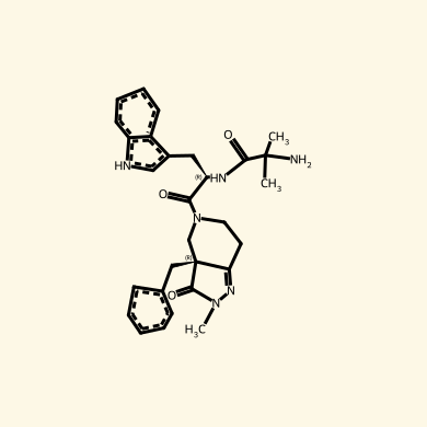 CN1N=C2CCN(C(=O)[C@@H](Cc3c[nH]c4ccccc34)NC(=O)C(C)(C)N)C[C@@]2(Cc2ccccc2)C1=O